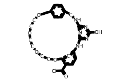 O=C(Cl)c1ccc2cc1OCCOCCOCCOc1ccc(cc1)CNc1nc(O)nc(n1)N2